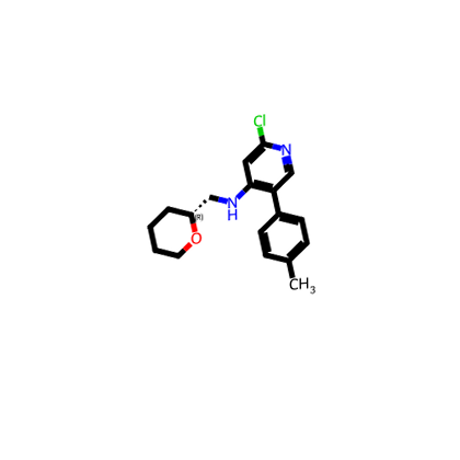 Cc1ccc(-c2cnc(Cl)cc2NC[C@H]2CCCCO2)cc1